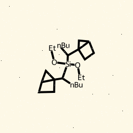 CCCCC(C12CCC1C2)[Si](OCC)(OCC)C(CCCC)C12CCC1C2